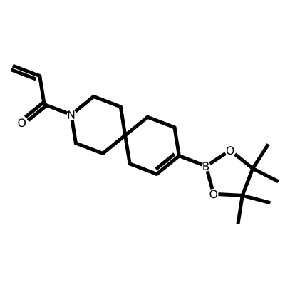 C=CC(=O)N1CCC2(CC=C(B3OC(C)(C)C(C)(C)O3)CC2)CC1